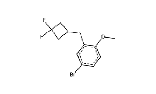 COc1ccc(Br)cc1SC1CC(F)(F)C1